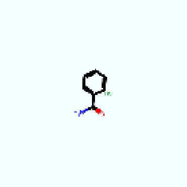 Cl.NC(=O)c1ccccc1